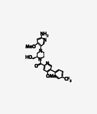 COc1cc(C(=O)N2CCN(c3cnc(N)cc3OC)C[C@@H]2CO)ncc1-c1ccc(C(F)(F)F)cc1